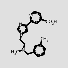 Cc1cccc(CN(C)CCn2cnc(-c3cc(C(=O)O)ccn3)c2)c1